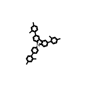 Cc1ccc(-c2ccc(-n3c4ccc(-c5ccc(C)cc5C)cc4c4cc(-c5ccc(C)cc5C)ccc43)cc2)c(C)c1